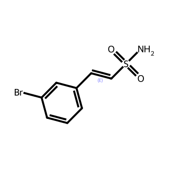 NS(=O)(=O)/C=C/c1cccc(Br)c1